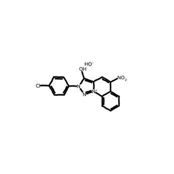 O=[N+]([O-])c1cc2c(O)n(-c3ccc(Cl)cc3)n[n+]2c2ccccc12.[OH-]